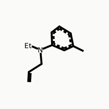 C=CCN(CC)c1cccc(C)c1